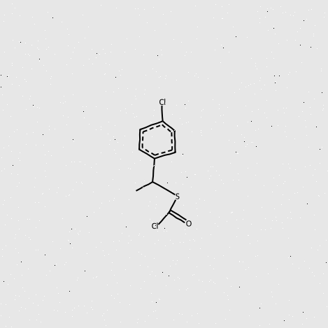 CC(SC(=O)Cl)c1ccc(Cl)cc1